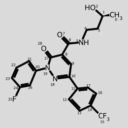 C[C@H](O)CCNC(=O)c1cc(-c2ccc(C(F)(F)F)cc2)nn(-c2cccc(F)c2)c1=O